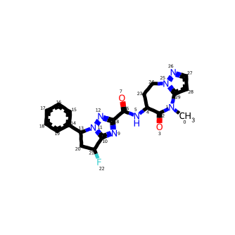 CN1C(=O)C(NC(=O)c2nc3n(n2)C(c2ccccc2)CC3F)CCn2nccc21